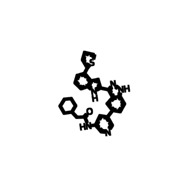 O=C(CC1CCCCC1)Nc1cncc(-c2ccc3[nH]nc(-c4cc5c(-c6cccs6)cccc5[nH]4)c3c2)c1